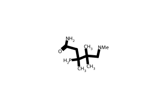 CNCC(C)(C)C(C)(P)CC(N)=O